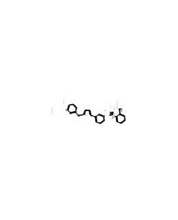 O=C(c1ccc(-c2cccc(NS(=O)(=O)c3ccccc3C(F)(F)F)c2)s1)c1cc(F)c(F)c(O)c1F